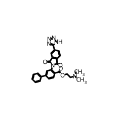 CN(C)CCOC(=O)c1ccc(-c2ccccc2)cc1N1C(=O)c2ccc(-c3nnn[nH]3)cc2C1=O